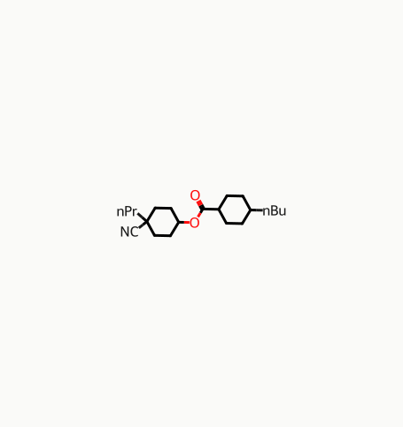 CCCCC1CCC(C(=O)OC2CCC(C#N)(CCC)CC2)CC1